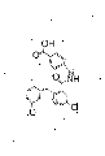 COc1cccc(Cc2ncc(Cl)cc2C(=O)N[C@@H](C)c2ccc(C(=O)O)cc2)c1